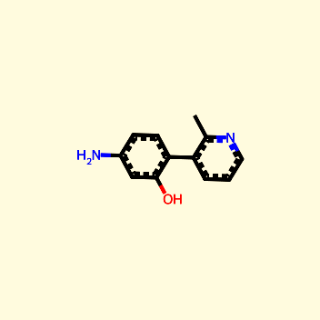 Cc1ncccc1-c1ccc(N)cc1O